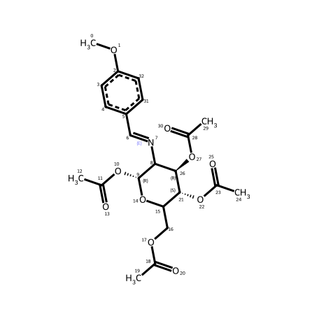 COc1ccc(/C=N/C2[C@@H](OC(C)=O)OC(COC(C)=O)[C@@H](OC(C)=O)[C@@H]2OC(C)=O)cc1